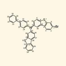 Brc1ccc2c(c1)sc1ccc(N(c3ccc(-c4ccccc4)cc3)c3ccc4c(c3)sc3ccccc34)cc12